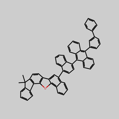 CC1(C)c2ccccc2-c2c1ccc1c2oc2c3ccccc3c(-c3ccc(-c4c5ccccc5c(-c5cccc(-c6ccccc6)c5)c5ccccc45)c4ccccc34)cc12